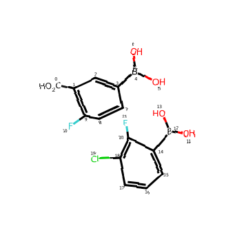 O=C(O)c1cc(B(O)O)ccc1F.OB(O)c1cccc(Cl)c1F